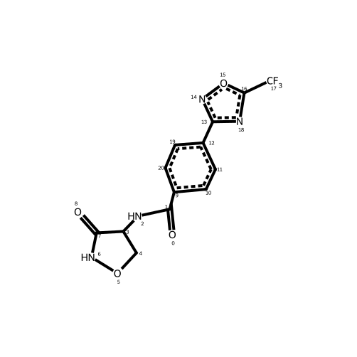 O=C(NC1CONC1=O)c1ccc(-c2noc(C(F)(F)F)n2)cc1